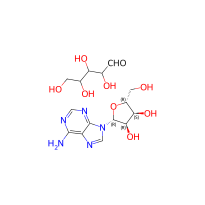 Nc1ncnc2c1ncn2[C@@H]1O[C@H](CO)[C@@H](O)[C@H]1O.O=CC(O)C(O)C(O)CO